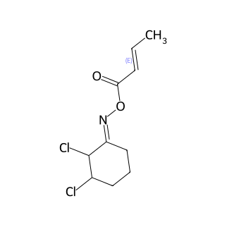 C/C=C/C(=O)ON=C1CCCC(Cl)C1Cl